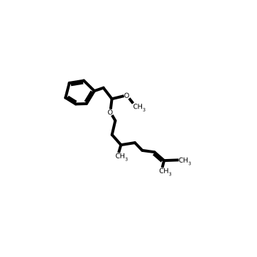 COC(Cc1ccccc1)OCCC(C)CCC=C(C)C